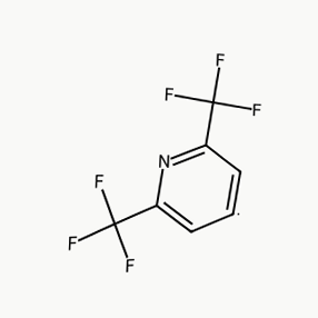 FC(F)(F)c1c[c]cc(C(F)(F)F)n1